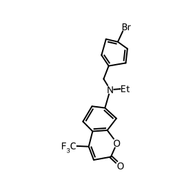 CCN(Cc1ccc(Br)cc1)c1ccc2c(C(F)(F)F)cc(=O)oc2c1